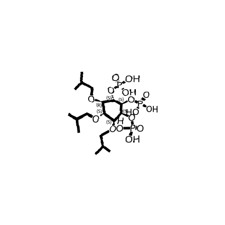 CC(C)CO[C@@H]1[C@@H](OCC(C)C)[C@H](OP(=O)(O)O)[C@@H](OP(=O)(O)O)[C@@H](OP(=O)(O)O)[C@H]1OCC(C)C